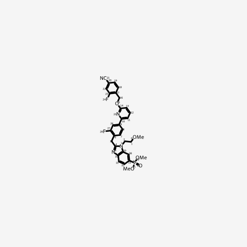 COCCn1c(Cc2ccc(-c3cccc(OCc4ccc(C#N)cc4F)n3)cc2F)nc2ccc(P(=O)(OC)OC)cc21